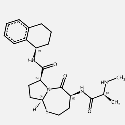 CN[C@@H](C)C(=O)N[C@H]1CCS[C@H]2CC[C@@H](C(=O)N[C@@H]3CCCc4ccccc43)N2C1=O